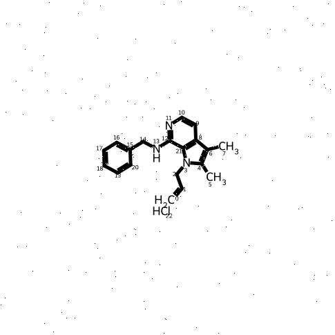 C=CCn1c(C)c(C)c2ccnc(NCc3ccccc3)c21.Cl